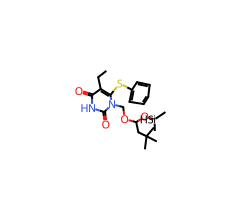 CCc1c(Sc2ccccc2)n(COC(CC(C)(C)C)O[SiH](C)C)c(=O)[nH]c1=O